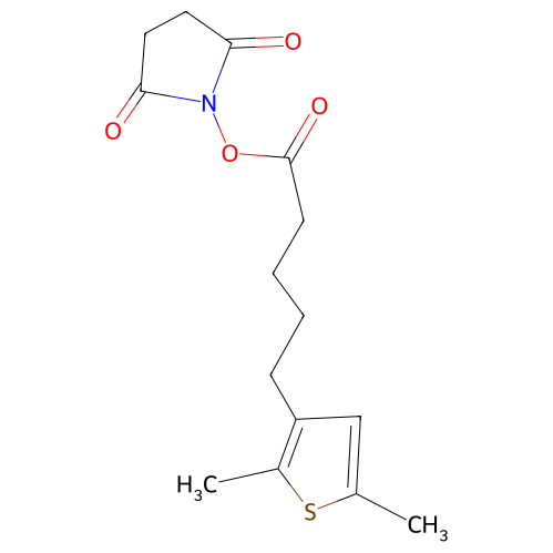 Cc1cc(CCCCC(=O)ON2C(=O)CCC2=O)c(C)s1